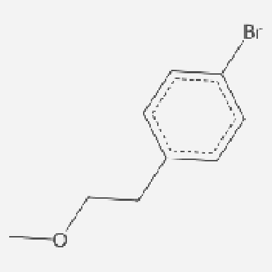 COCCc1ccc(Br)cc1